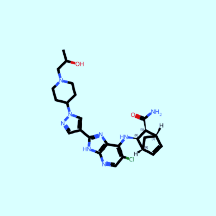 CC(O)CN1CCC(n2cc(-c3nc4c(N[C@H]5[C@@H](C(N)=O)[C@@H]6C=C[C@H]5C6)c(Cl)cnc4[nH]3)cn2)CC1